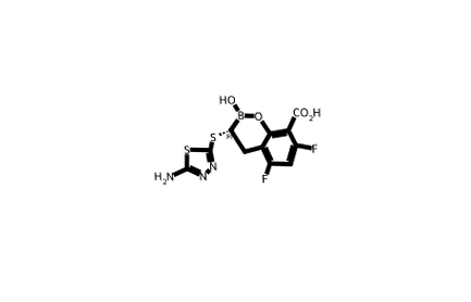 Nc1nnc(S[C@H]2Cc3c(F)cc(F)c(C(=O)O)c3OB2O)s1